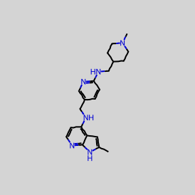 Cc1cc2c(NCc3ccc(NCC4CCN(C)CC4)nc3)ccnc2[nH]1